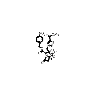 COC(=O)c1cn(C[C@@]2(C)[C@H](C(=O)OCc3ccc([N+](=O)[O-])cc3)N3C(=O)C[C@H]3S2(=O)=O)nn1